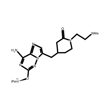 CCC[C@H](C)Oc1nc(N)c2ncc(CC3CCN(CCNC)C(=O)C3)n2n1